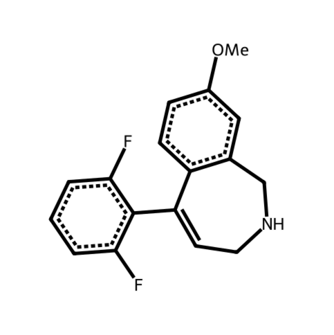 COc1ccc2c(c1)CNCC=C2c1c(F)cccc1F